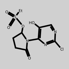 CCS(=O)(=O)OC1CCC(=O)N1c1nc(Cl)ncc1O